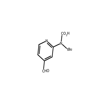 CC(C)(C)N(C(=O)O)c1cc(C=O)ccn1